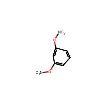 O=[N+]([O-])Oc1cccc(O[N+](=O)[O-])c1